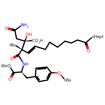 CCCCCCCC(=O)CCCCCC/C=C/[C@@](C(=O)N[C@@H](Cc1ccc(OCCCC)cc1)C(=O)OC)(C(C)(C)C)[C@@](O)(CC(N)=O)C(=O)O